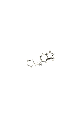 C1=NCCN1Nc1ccc2cn[nH]c2c1